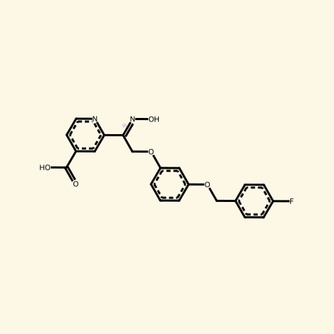 O=C(O)c1ccnc(/C(COc2cccc(OCc3ccc(F)cc3)c2)=N/O)c1